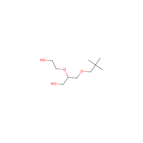 CC(C)(C)COCC(CO)OCCO